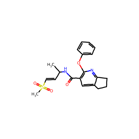 CC(C=CS(C)(=O)=O)NC(=O)c1cc2c(nc1Oc1ccccc1)CCC2